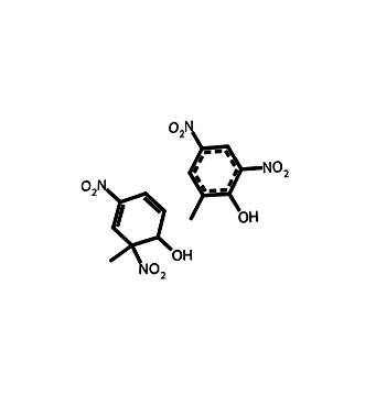 CC1([N+](=O)[O-])C=C([N+](=O)[O-])C=CC1O.Cc1cc([N+](=O)[O-])cc([N+](=O)[O-])c1O